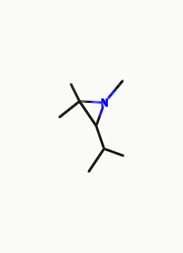 CC(C)C1N(C)C1(C)C